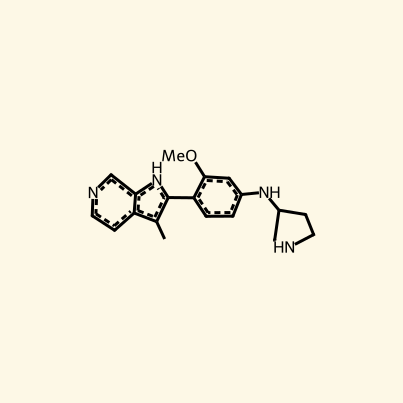 COc1cc(NC2CCNC2)ccc1-c1[nH]c2cnccc2c1C